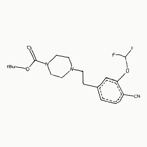 CC(C)(C)OC(=O)N1CCN(CCc2ccc(C#N)c(OC(F)F)c2)CC1